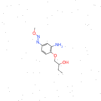 CCC(O)COc1ccc(N=NOC)cc1N